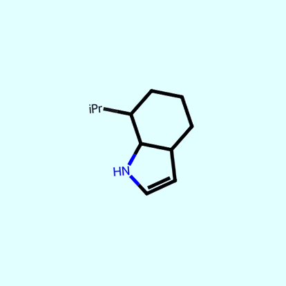 CC(C)C1CCCC2C=CNC21